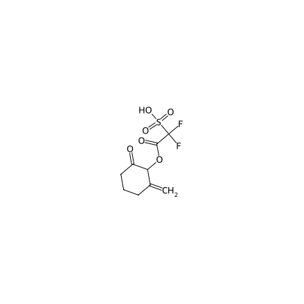 C=C1CCCC(=O)C1OC(=O)C(F)(F)S(=O)(=O)O